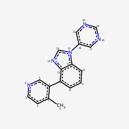 Cc1ccncc1-c1cccc2c1ncn2-c1cncnc1